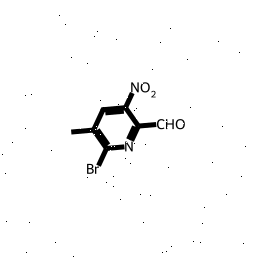 Cc1cc([N+](=O)[O-])c(C=O)nc1Br